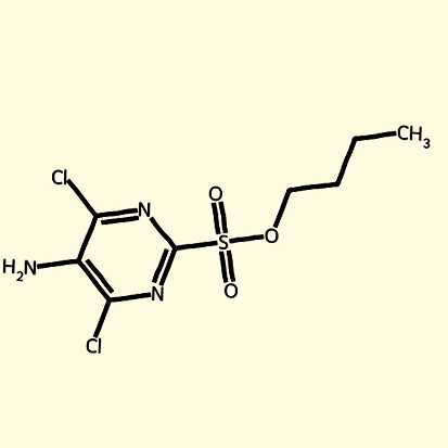 CCCCOS(=O)(=O)c1nc(Cl)c(N)c(Cl)n1